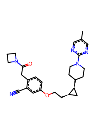 Cc1cnc(N2CCC([C@H]3C[C@H]3CCOc3ccc(CC(=O)N4CCC4)c(C#N)c3)CC2)nc1